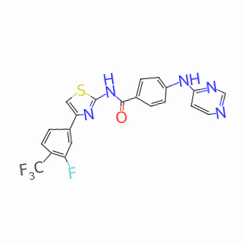 O=C(Nc1nc(-c2ccc(C(F)(F)F)c(F)c2)cs1)c1ccc(Nc2ccncn2)cc1